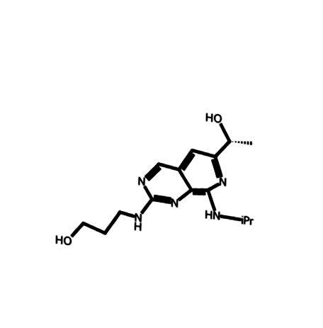 CC(C)Nc1nc([C@@H](C)O)cc2cnc(NCCCO)nc12